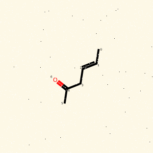 CC=CCC(C)=O